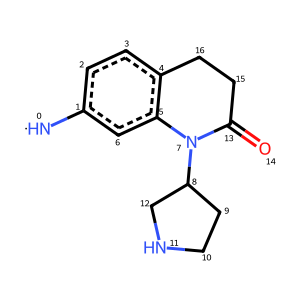 [NH]c1ccc2c(c1)N(C1CCNC1)C(=O)CC2